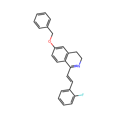 Fc1ccccc1C=CC1=NCCc2cc(OCc3ccccc3)ccc21